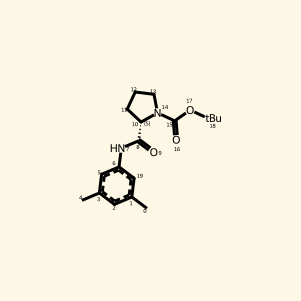 Cc1cc(C)cc(NC(=O)[C@@H]2CCCN2C(=O)OC(C)(C)C)c1